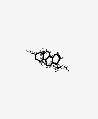 CC(=O)[C@H]1CCC2C3CC[C@@]4(C)C[C@@H](O)CC[C@]4(C)C3CC[C@@]21C